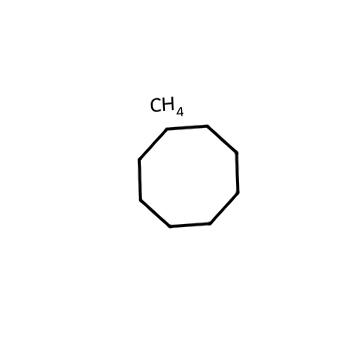 C.C1CCCCCCC1